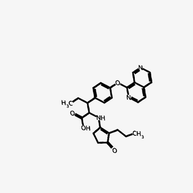 CCCC1=C(NC(C(=O)O)C(CC)c2ccc(Oc3nccc4ccncc34)cc2)CCC1=O